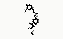 CCOC(=O)c1oc2ccc(S(=O)(=O)NCCc3ccc(F)c(OC)c3)cc2c1C